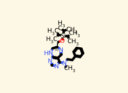 CC(C)[Si](OC[C@@H]1CNc2ncnc(N(C)CCc3ccccc3)c2C=N1)(C(C)C)C(C)C